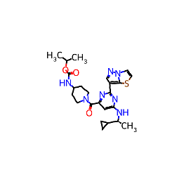 CC(C)OC(=O)NC1CCN(C(=O)c2cc(N[C@@H](C)C3CC3)nc(-c3cnn4ccsc34)n2)CC1